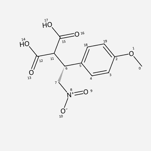 COc1ccc([C@H](C[N+](=O)[O-])C(C(=O)O)C(=O)O)cc1